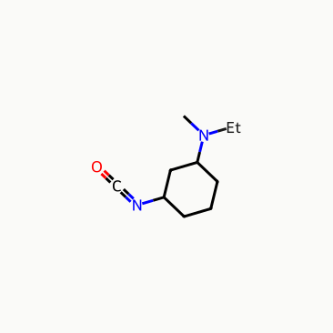 CCN(C)C1CCCC(N=C=O)C1